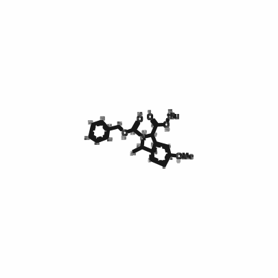 COc1ccc2c(c1)C(C(=O)OC(C)(C)C)N(C(=O)OCc1ccccc1)C2C